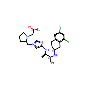 C=C(Nc1cn(CC2CCCN2C[C@@H](O)CC)cn1)[C@H](CCC)N[C@H]1CCc2cc(F)cc(F)c2C1